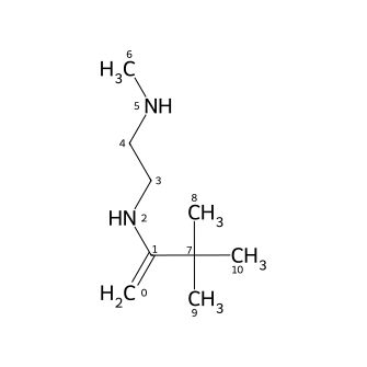 C=C(NCCNC)C(C)(C)C